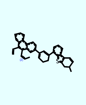 C=Cc1c(/C=C\C)c2cc(C3=CCCC(c4cccc5c6c(sc45)CC(C)C=C6)=C3)ccc2c2ccccc12